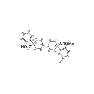 COc1ccc(Cl)cc1C1(C#N)CCC(N2CCC(C(=O)O)(c3ccccc3)CC2)CC1